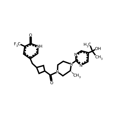 C[C@@H]1CN(C(=O)C2CC(Cc3c[nH]c(=O)c(C(F)(F)F)c3)C2)CCN1c1ncc(C(C)(C)O)cn1